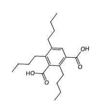 CCCCc1cc(C(=O)O)c(CCCC)c(C(=O)O)c1CCCC